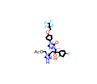 CC(=O)OCN1CNN=C1C[C@@](O)(c1ccc(F)cc1F)[C@@H](C)n1ncn(-c2ccc(OCC(F)(F)C(F)F)cc2)c1=O